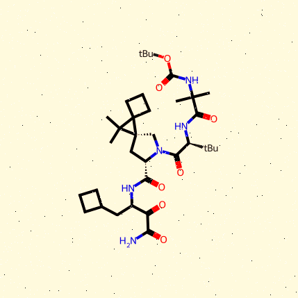 CC(C)(C)OC(=O)NC(C)(C)C(=O)N[C@H](C(=O)N1C[C@]2(C[C@H]1C(=O)NC(CC1CCC1)C(=O)C(N)=O)C(C)(C)C21CCC1)C(C)(C)C